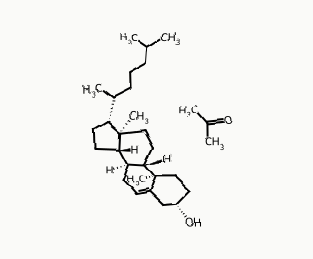 CC(C)=O.CC(C)CCCC(C)[C@H]1CC[C@H]2[C@@H]3CC=C4C[C@@H](O)CC[C@]4(C)[C@H]3CC[C@]12C